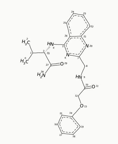 CC(C)[C@H](Nc1nc(CNC(=O)COc2ccccc2)nc2ccccc12)C(N)=O